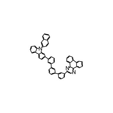 c1cc(-c2cccc(-c3ccc4c5ccccc5n(-c5ccc6ccccc6c5)c4c3)c2)cc(-c2cccc(-c3cnc4c5ccccc5c5ccccc5c4n3)c2)c1